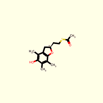 CC(=O)SCC[C@@H]1Cc2c(C)c(O)c(C)c(C)c2O1